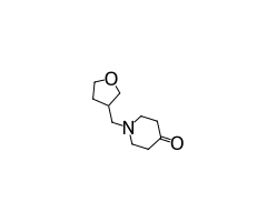 O=C1CCN(CC2CCOC2)CC1